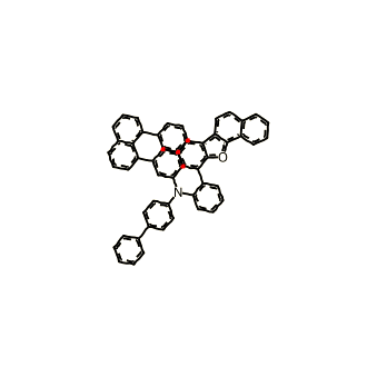 c1ccc(-c2ccc(N(c3cccc(-c4cccc5cccc(-c6ccccc6)c45)c3)c3ccccc3-c3cccc4c3oc3c5ccccc5ccc43)cc2)cc1